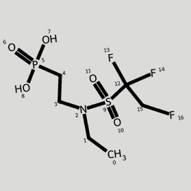 CCN(CCP(=O)(O)O)S(=O)(=O)C(F)(F)CF